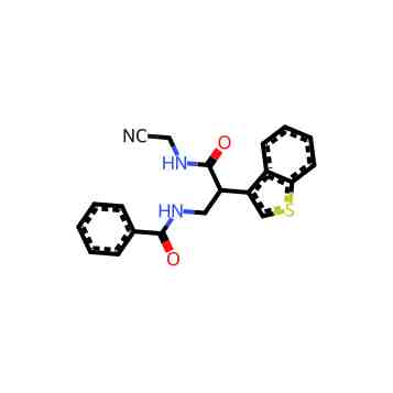 N#CCNC(=O)C(CNC(=O)c1ccccc1)c1csc2ccccc12